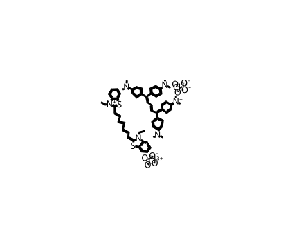 CCN1C(=CC=CC=CC=Cc2sc3ccccc3[n+]2CC)Sc2ccccc21.CN(C)c1ccc(C(=CC=CC(=C2C=CC(=[N+](C)C)C=C2)c2ccc(N(C)C)cc2)c2ccc(N(C)C)cc2)cc1.[O-][Cl+3]([O-])([O-])[O-].[O-][Cl+3]([O-])([O-])[O-]